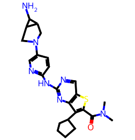 CN(C)C(=O)c1sc2cnc(Nc3ccc(N4CC5C(N)C5C4)cn3)nc2c1C1CCCC1